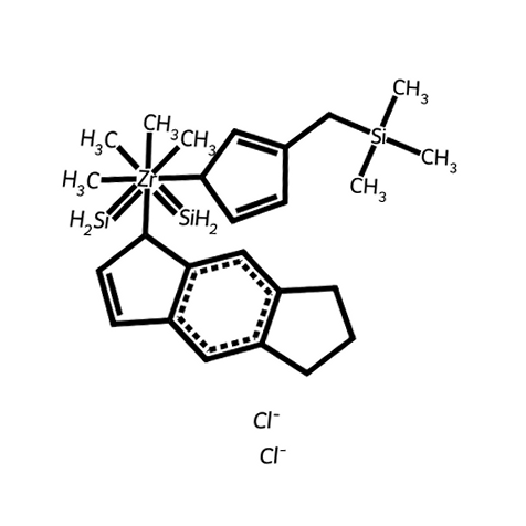 C[Si](C)(C)CC1=C[CH]([Zr]([CH3])([CH3])([CH3])([CH3])(=[SiH2])(=[SiH2])[CH]2C=Cc3cc4c(cc32)CCC4)C=C1.[Cl-].[Cl-]